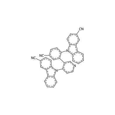 N#Cc1ccc(-n2c3ccccc3c3cc(C#N)ccc32)c(-c2cnccc2-n2c3ccccc3c3cc(C#N)ccc32)c1